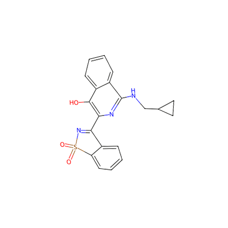 O=S1(=O)N=C(c2nc(NCC3CC3)c3ccccc3c2O)c2ccccc21